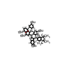 CC(C)(C)c1ccc(-c2cc(C(C)(C)C)ccc2N2c3ccc(C(C)(C)C)cc3B3c4sc5ccc(C(C)(C)C)cc5c4N(c4ccc5c(c4)C(C)(C)CC5(C)C)c4nc(C(C)(C)C)nc2c43)cc1